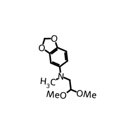 COC(CN(C)c1ccc2c(c1)OCO2)OC